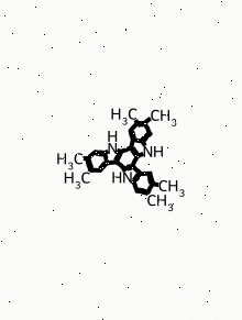 Cc1cc2[nH]c3c(c2cc1C)c1[nH]c2cc(C)c(C)cc2c1c1[nH]c2cc(C)c(C)cc2c31